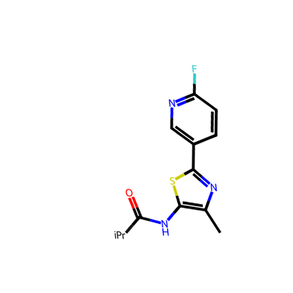 Cc1nc(-c2ccc(F)nc2)sc1NC(=O)C(C)C